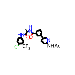 CC(=O)Nc1ccc(-c2cccc(C(=O)N[C@H](C)C(=O)Nc3ccc(Cl)c(C(F)(F)F)c3)c2)cn1